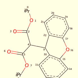 CC(C)OC(=O)C(C(=O)OC(C)C)C1c2ccccc2Oc2ccccc21